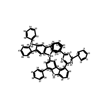 c1ccc(-c2nc(-c3ccccc3)nc(-c3cccc4oc5c(-c6ccccc6)cc(-n6c7ccccc7c7cc8c(cc76)c6ccccc6n8-c6ccccc6)cc5c34)n2)cc1